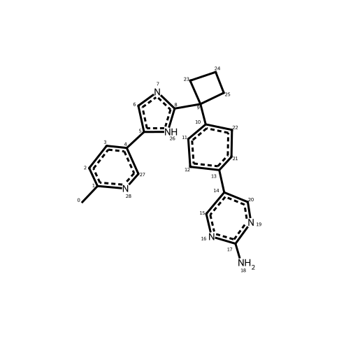 Cc1ccc(-c2cnc(C3(c4ccc(-c5cnc(N)nc5)cc4)CCC3)[nH]2)cn1